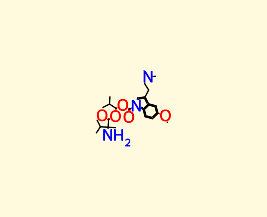 COc1ccc2c(c1)c(CCN(C)C)cn2C(=O)OC(OC(=O)C(C)(N)C(C)C)C(C)C